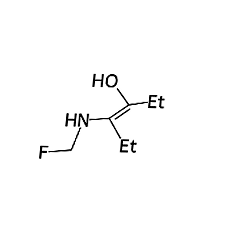 CC/C(O)=C(\CC)NCF